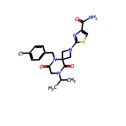 CC(C)N1CC(=O)N(Cc2ccc(Cl)cc2)C2(CN(c3nc(C(N)=O)cs3)C2)C1=O